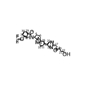 O=C(N[C@@H]1CCn2c1nc1ccc(-c3cnc(C[S@+]([O-])CCCO)nc3)cc12)c1cccc(OC(F)F)c1